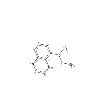 CCC(C)c1cccc2nccnc12